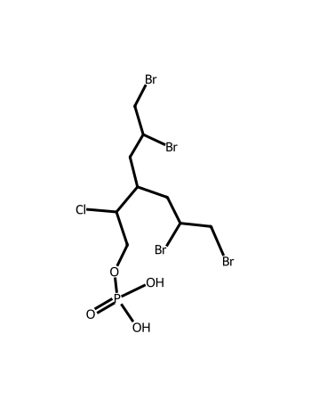 O=P(O)(O)OCC(Cl)C(CC(Br)CBr)CC(Br)CBr